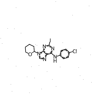 Clc1ccc(Nc2nc(I)nc3c2ncn3C2CCCCO2)cc1